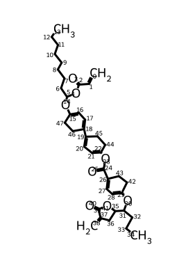 C=CC(=O)OC(CCCCCCCC)OC1=CC=C(C2=CC=C(OC(=O)C3=CC=C(OC(CCC)C4CC(=C)C(=O)O4)CC3)CC2)CC1